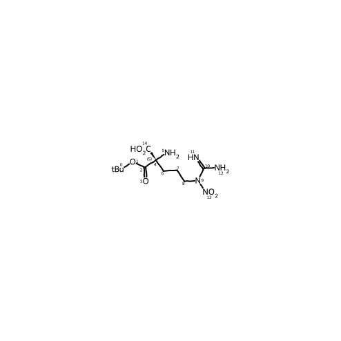 CC(C)(C)OC(=O)[C@](N)(CCCN(C(=N)N)[N+](=O)[O-])C(=O)O